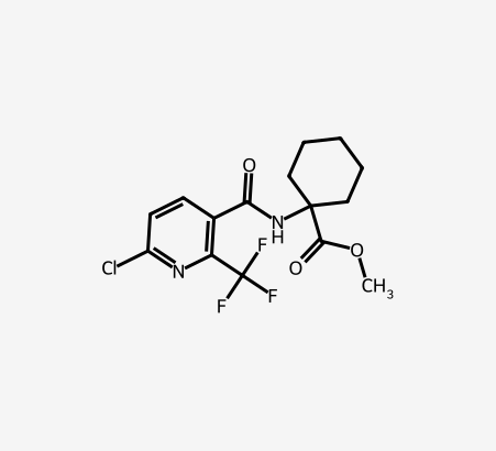 COC(=O)C1(NC(=O)c2ccc(Cl)nc2C(F)(F)F)CCCCC1